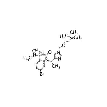 CC(c1cn(COCC[Si](C)(C)C)cn1)n1c(=O)nc(N(C)C)c2ccc(Br)cc21